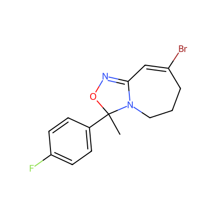 CC1(c2ccc(F)cc2)ON=C2C=C(Br)CCCN21